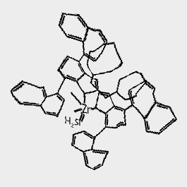 [CH3][Zr]([CH3])(=[SiH2])([CH]1C(CC2CCCCCC2)=Cc2c(-c3cccc4ccccc34)ccc(-c3cccc4ccccc34)c21)[CH]1C(CC2CCCCCC2)=Cc2c(-c3cccc4ccccc34)ccc(-c3cccc4ccccc34)c21